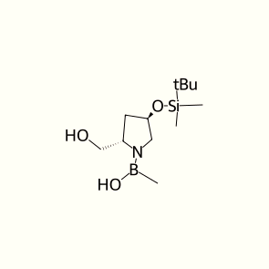 CB(O)N1C[C@H](O[Si](C)(C)C(C)(C)C)C[C@H]1CO